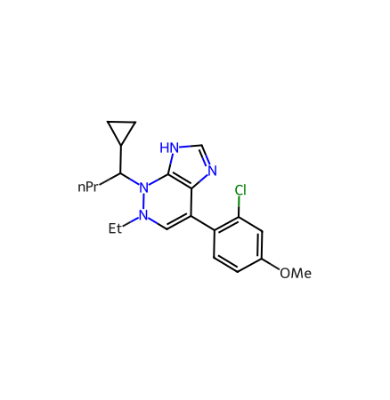 CCCC(C1CC1)N1c2[nH]cnc2C(c2ccc(OC)cc2Cl)=CN1CC